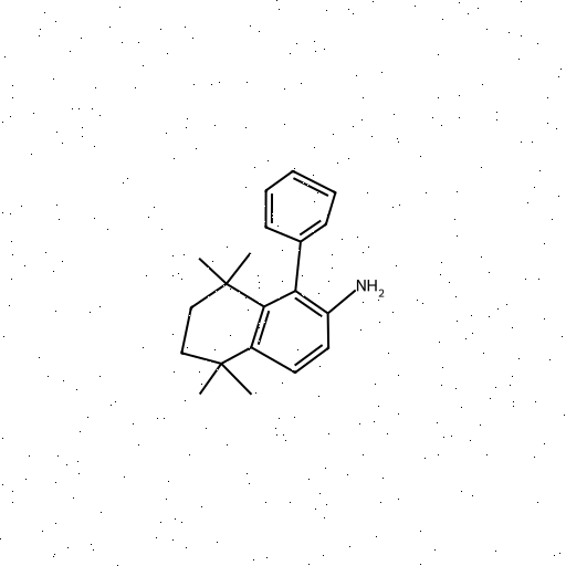 CC1(C)CCC(C)(C)c2c1ccc(N)c2-c1ccccc1